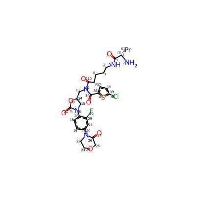 CC(C)[C@H](N)C(=O)NCCCCC(=O)N(C[C@H]1CN(c2ccc(N3CCOCC3=O)cc2F)C(=O)O1)C(=O)c1ccc(Cl)s1